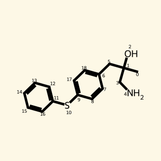 CC(O)(CN)Cc1ccc(Sc2ccccc2)cc1